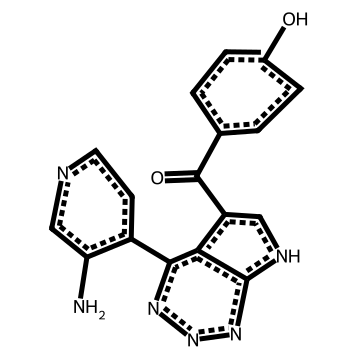 Nc1cnccc1-c1nnnc2[nH]cc(C(=O)c3ccc(O)cc3)c12